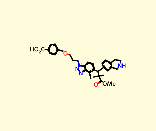 COC(=O)C(C)(C)C(c1ccc2c(c1)CNCC2)c1ccc2c(nnn2CCCOCc2ccc(C(=O)O)cc2)c1C